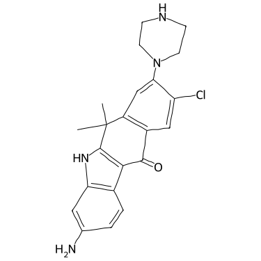 CC1(C)c2cc(N3CCNCC3)c(Cl)cc2C(=O)c2c1[nH]c1cc(N)ccc21